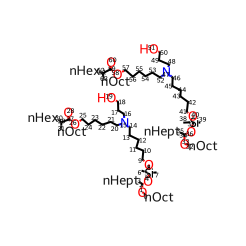 CCCCCCCCOC(CCCCCCC)O[Si](C)(C)OCCCCCCN(CCCO)CCCCCCOC(=O)C(CCCCCC)CCCCCCCC.CCCCCCCCOC(CCCCCCC)O[Si](C)(C)OCCCCCCN(CCCO)CCCCCCOC(=O)C(CCCCCC)CCCCCCCC